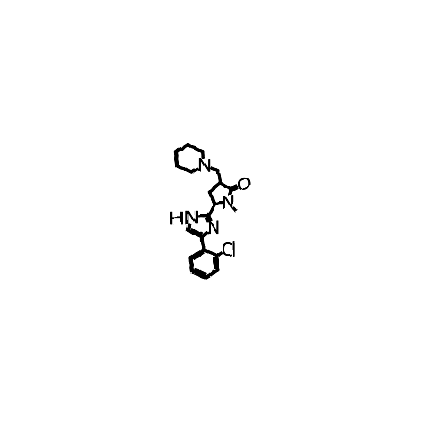 CN1C(=O)C(CN2CCCCC2)CC1c1nc(-c2ccccc2Cl)c[nH]1